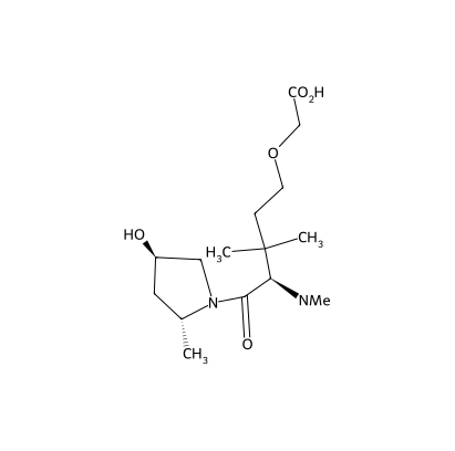 CN[C@@H](C(=O)N1C[C@H](O)C[C@H]1C)C(C)(C)CCOCC(=O)O